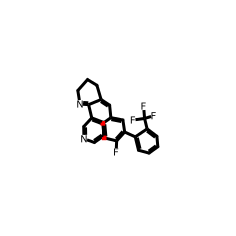 Fc1ccc(/C=C2/CCCN=C2c2cccnc2)cc1-c1ccccc1C(F)(F)F